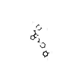 Cc1ccc(OC2CCN(C(=O)Cn3nc(C(=O)N4C[C@@H](C)O[C@@H](C)C4)c4c3CCC4)CC2)c(Cl)c1